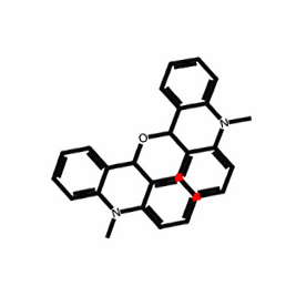 CN1c2ccccc2C(OC2c3ccccc3N(C)c3ccccc32)c2ccccc21